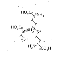 NC(CCSSCCC(N)C(=O)O)C(=O)O.NC(CS)C(=O)O